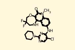 Cn1c(=O)c2c(c3cc(Nc4nc(N5CCCCC5)ncc4Cl)ccc31)NCC(F)(F)CO2